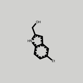 CCc1ccc2[nH]c(CO)cc2c1